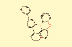 c1ccc2c(c#1)B(c1cc(-c3ccccc3)ccc1C1=CC=CCC1)c1ccccc1O2